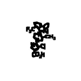 CC1CN(c2ncc(C(=O)O)cc2Cl)CCN1c1noc2cccc(C(F)(F)F)c12